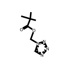 CC(C)(C)C(=O)OCn1[c]nnn1